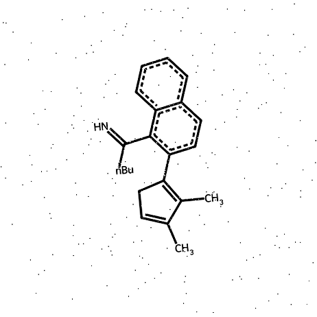 CCCCC(=N)c1c(C2=C(C)C(C)=CC2)ccc2ccccc12